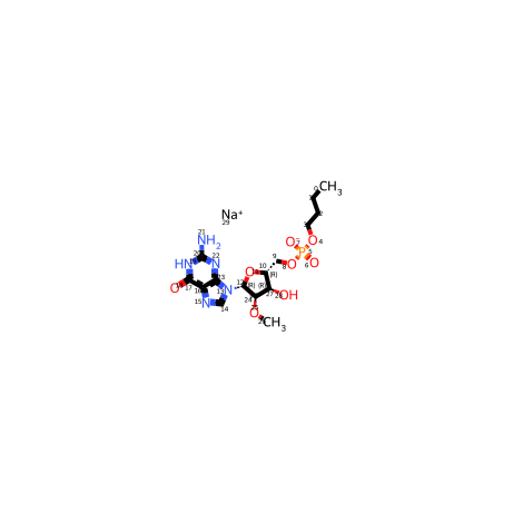 CCCCOP(=O)([O-])OC[C@H]1O[C@@H](n2cnc3c(=O)[nH]c(N)nc32)[C@H](OC)[C@@H]1O.[Na+]